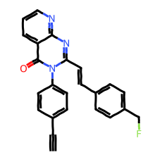 C#Cc1ccc(-n2c(/C=C/c3ccc(CF)cc3)nc3ncccc3c2=O)cc1